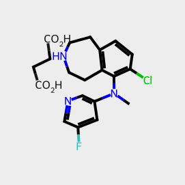 CN(c1cncc(F)c1)c1c(Cl)ccc2c1CCNCC2.O=C(O)CCC(=O)O